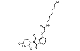 NCCCCCCCNC(=O)COc1cccc2c1C(=O)N(C1CCC(=O)NC1=O)C2=O